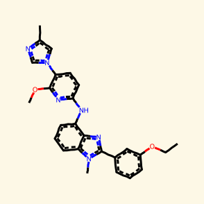 CCOc1cccc(-c2nc3c(Nc4ccc(-n5cnc(C)c5)c(OC)n4)cccc3n2C)c1